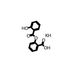 O=C(Oc1ccccc1C(=O)O)c1ccccc1O.[KH]